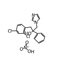 O=[N+]([O-])O.OC(Cc1ccc(Cl)cc1Cl)(Cn1ccnc1)c1ccccc1